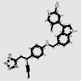 CC#C[C@@H](Cc1nnn[nH]1)c1ccc(OCc2ccc3scc(-c4cc(Cl)ncc4C)c3c2)cc1